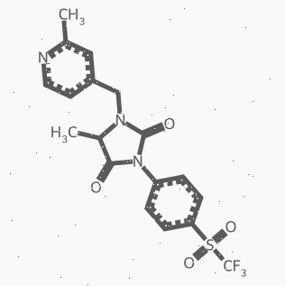 Cc1cc(CN2C(=O)N(c3ccc(S(=O)(=O)C(F)(F)F)cc3)C(=O)C2C)ccn1